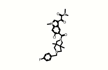 CN(C)C(=O)C(=O)c1cn(C)c2cc(Cl)c(C(=O)N3CC4(C)CN(Cc5ccc(F)cc5)CC4(C)C3)cc12